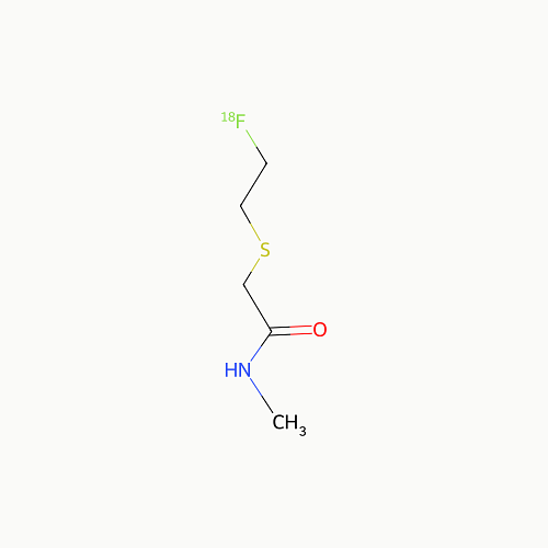 CNC(=O)CSCC[18F]